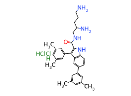 Cc1cc(C)cc(-c2ccc3[nH]c(C(=O)NCC(N)CCCN)c(-c4cc(C)cc(C)c4)c3c2)c1.Cl.Cl